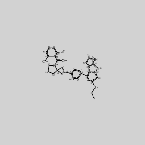 CCOc1cc(-c2ccc(N3CC4(CCCN4C(=O)c4c(F)cccc4Cl)C3)nc2)c2c3cn[nH]c3nn2c1